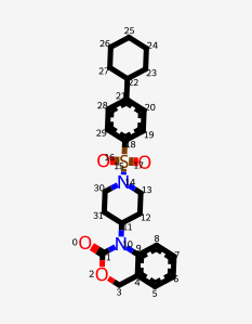 O=C1OCc2ccccc2N1C1CCN(S(=O)(=O)c2ccc(C3CCCCC3)cc2)CC1